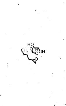 CCCCC1CO1.O=CO.OCCO